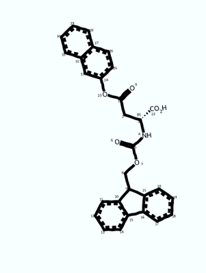 O=C(C[C@@H](NC(=O)OCC1c2ccccc2-c2ccccc21)C(=O)O)Oc1ccc2ccccc2c1